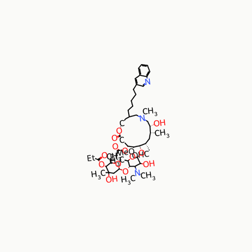 CCC(=O)O[C@@H]1CC(=O)OCCC(CCCCCc2cnc3ccccc3c2)CN(C)C[C@H](O)[C@H](C)C[C@H](CC=O)[C@H](O[C@@H]2OC(C)[C@@H](O[C@H]3CC(C)(O)[C@@H](OC(=O)CC)C(C)O3)C(N(C)C)C2O)[C@H]1OC